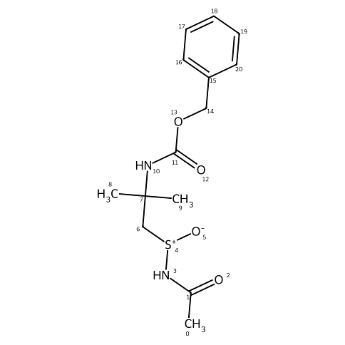 CC(=O)N[S+]([O-])CC(C)(C)NC(=O)OCc1ccccc1